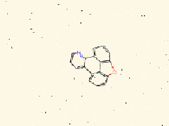 c1cnc2c(c1)c1cccc3oc4cccc2c4c31